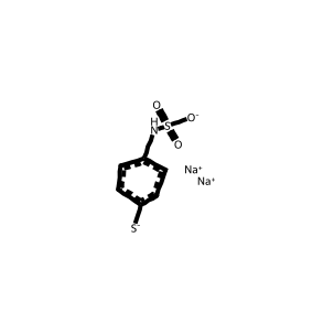 O=S(=O)([O-])Nc1ccc([S-])cc1.[Na+].[Na+]